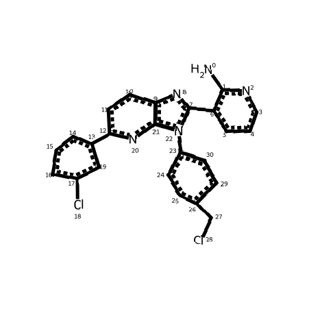 Nc1ncccc1-c1nc2ccc(-c3cccc(Cl)c3)nc2n1-c1ccc(CCl)cc1